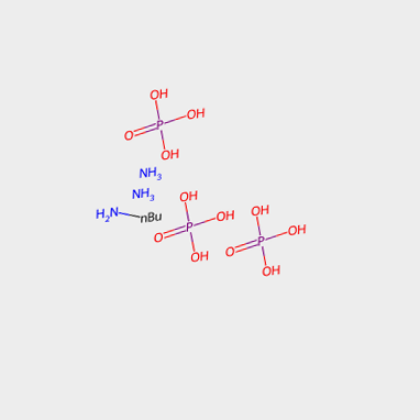 CCCCN.N.N.O=P(O)(O)O.O=P(O)(O)O.O=P(O)(O)O